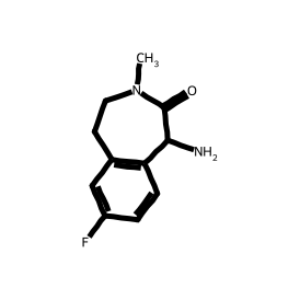 CN1CCc2cc(F)ccc2C(N)C1=O